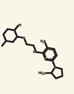 CC1CCC(C(C)C)C(OCCNc2nc(N3CCCC3C(=O)O)ccc2[N+](=O)[O-])C1